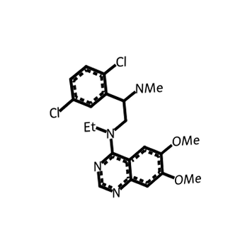 CCN(CC(NC)c1cc(Cl)ccc1Cl)c1ncnc2cc(OC)c(OC)cc12